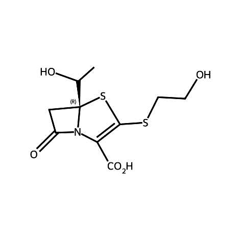 CC(O)[C@]12CC(=O)N1C(C(=O)O)=C(SCCO)S2